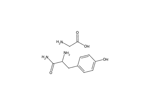 NC(=O)C(N)Cc1ccc(O)cc1.NCC(=O)O